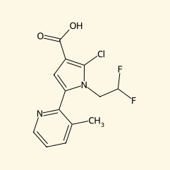 Cc1cccnc1-c1cc(C(=O)O)c(Cl)n1CC(F)F